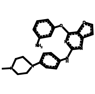 CN1CCN(c2ccc(Nc3nc(Oc4cccc(N)c4)c4occc4n3)cc2)CC1